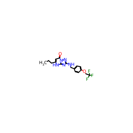 CCCc1cc(=O)n2nc(NCc3ccc(OCC(F)(F)F)cc3)nc2[nH]1